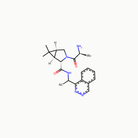 CC(C)(C)[C@H](N)C(=O)N1C[C@H]2[C@@H]([C@H]1C(=O)NC(C#N)c1nncc3ccccc13)C2(C)C